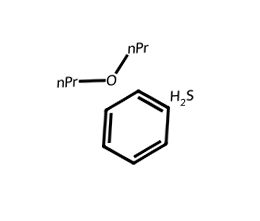 CCCOCCC.S.c1ccccc1